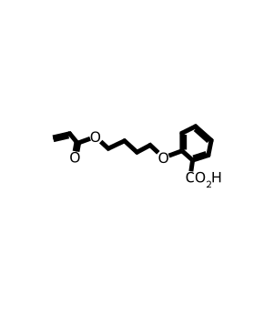 C=CC(=O)OCCCCOc1ccccc1C(=O)O